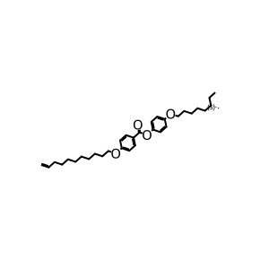 C=CCCCCCCCCCOc1ccc(C(=O)Oc2ccc(OCCCCC[C@@H](C)CC)cc2)cc1